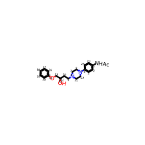 CC(=O)Nc1ccc(N2CCN(CCC(O)COc3ccccc3)CC2)cc1